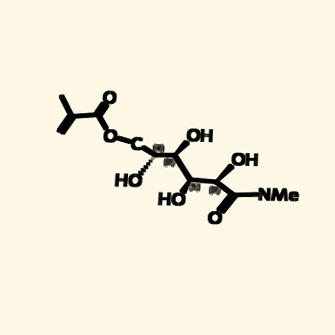 C=C(C)C(=O)OC[C@@H](O)[C@@H](O)[C@H](O)[C@@H](O)C(=O)NC